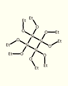 CCO[Si]1(OCC)[Si](OCC)(OCC)[Si](OCC)(OCC)[Si]1(OCC)OCC